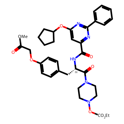 CCOC(=O)ON1CCN(C(=O)[C@H](Cc2ccc(OCC(=O)OC)cc2)NC(=O)c2cc(OC3CCCC3)nc(-c3ccccc3)n2)CC1